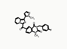 Cn1nccc1-c1nc(C(=O)c2ccc3c(c2)c(=O)n(Cc2ccc(F)cc2)c(=O)n3C)n2ccccc12